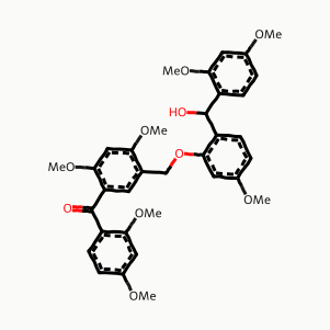 COc1ccc(C(=O)c2cc(COc3cc(OC)ccc3C(O)c3ccc(OC)cc3OC)c(OC)cc2OC)c(OC)c1